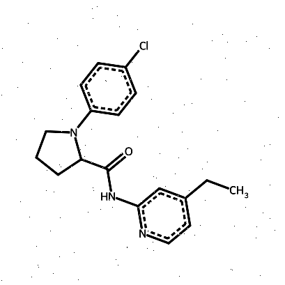 CCc1ccnc(NC(=O)C2CCCN2c2ccc(Cl)cc2)c1